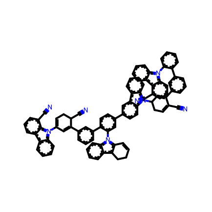 N#CC1=CCC(n2c3ccccc3c3cc(-c4ccc(-c5cccc(C6=CC(n7c8ccccc8c8cccc(C#N)c87)=CCC6C#N)c5)c(-n5c6c(c7ccccc75)CCC=C6)c4)ccc32)C=C1c1cccc(-c2ccccc2-n2c3ccccc3c3c(C#N)cccc32)c1